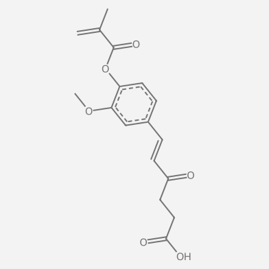 C=C(C)C(=O)Oc1ccc(/C=C/C(=O)CCC(=O)O)cc1OC